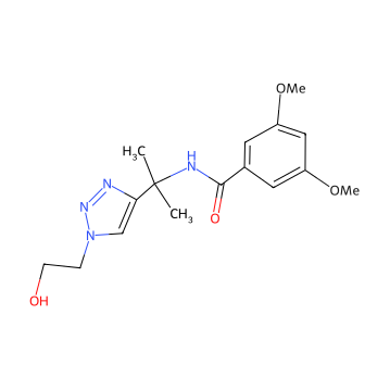 COc1cc(OC)cc(C(=O)NC(C)(C)c2cn(CCO)nn2)c1